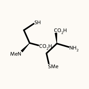 CN[C@@H](CS)C(=O)O.CSC[C@H](N)C(=O)O